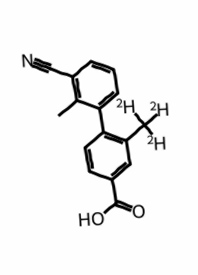 [2H]C([2H])([2H])c1cc(C(=O)O)ccc1-c1cccc(C#N)c1C